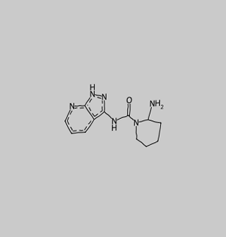 NC1CCCCN1C(=O)Nc1n[nH]c2ncccc12